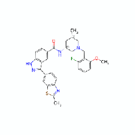 COc1cccc(F)c1CN1C[C@@H](C)C[C@@H](NC(=O)c2ccc3[nH]nc(-c4ccc5nc(C)sc5c4)c3c2)C1